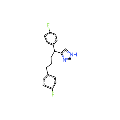 Fc1ccc(CCCC(c2ccc(F)cc2)c2c[nH]cn2)cc1